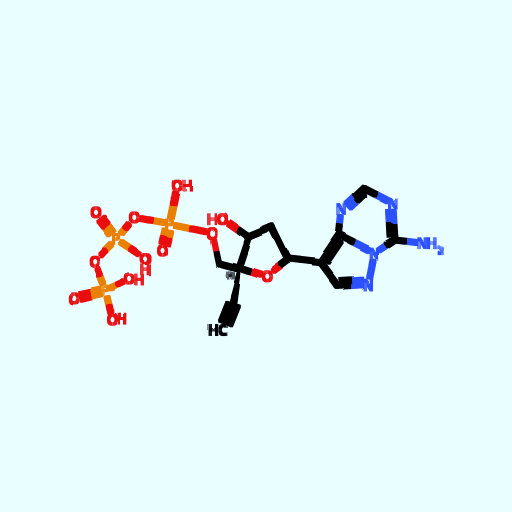 C#C[C@]1(COP(=O)(O)OP(=O)(O)OP(=O)(O)O)OC(c2cnn3c(N)ncnc23)CC1O